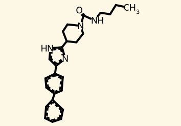 CCCCNC(=O)N1CCC(c2nc(-c3ccc(-c4ccccc4)cc3)c[nH]2)CC1